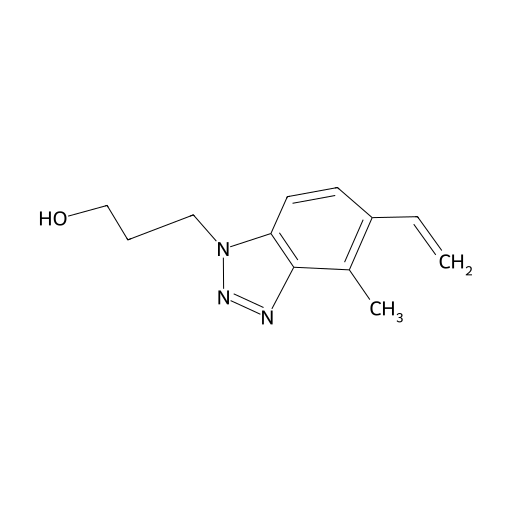 C=Cc1ccc2c(nnn2CCCO)c1C